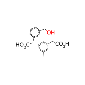 Cc1cccc(CC(=O)O)c1.O=C(O)Cc1cccc(CO)c1